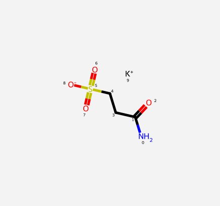 NC(=O)CCS(=O)(=O)[O-].[K+]